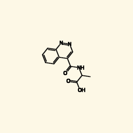 CC(NC(=O)c1cnnc2ccccc12)C(=O)O